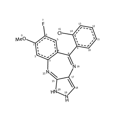 COc1cc2c(cc1F)C(c1ccccc1Cl)=NC1=CNNC1=N2